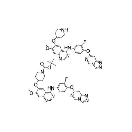 COc1cc2ncnc(Nc3ccc(Oc4cc5nncn5cn4)c(F)c3)c2cc1OC1CCN(C(=O)OC(C)(C)C)CC1.COc1cc2ncnc(Nc3ccc(Oc4cc5nncn5cn4)c(F)c3)c2cc1OC1CCNCC1